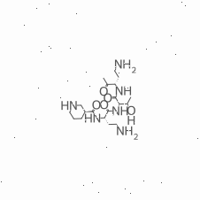 CC(=O)[C@H](CCN)NC(=O)[C@@H](NC(=O)[C@H](CCN)NC(=O)[C@H]1CCCNC1)C(C)O